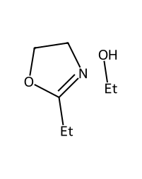 CCC1=NCCO1.CCO